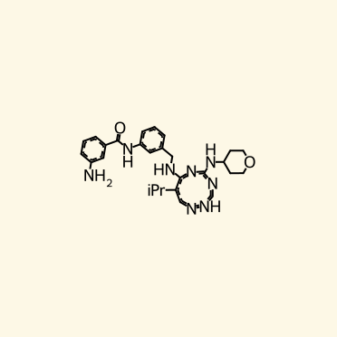 CC(C)c1cn[nH]cnc(NC2CCOCC2)nc1NCc1cccc(NC(=O)c2cccc(N)c2)c1